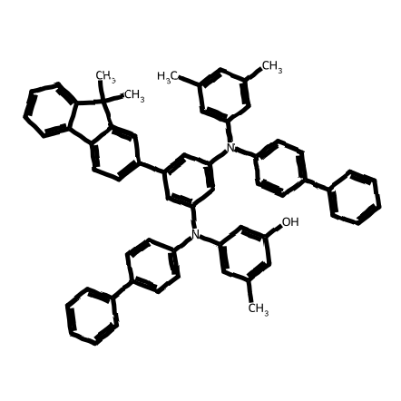 Cc1cc(C)cc(N(c2ccc(-c3ccccc3)cc2)c2cc(-c3ccc4c(c3)C(C)(C)c3ccccc3-4)cc(N(c3ccc(-c4ccccc4)cc3)c3cc(C)cc(O)c3)c2)c1